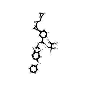 O=C(Nc1nc2ccc(Oc3ccccc3)cc2s1)c1cccc(C2CC2NCC2CC2)c1.O=C(O)C(F)(F)F